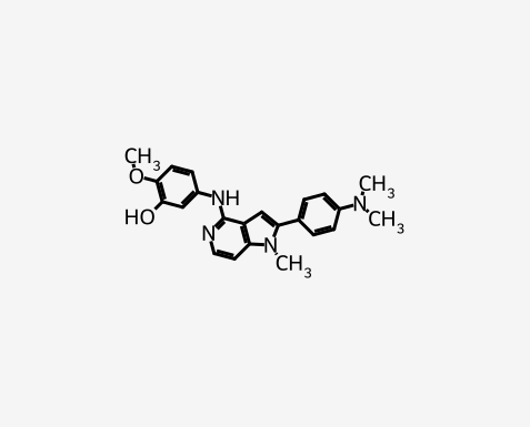 COc1ccc(Nc2nccc3c2cc(-c2ccc(N(C)C)cc2)n3C)cc1O